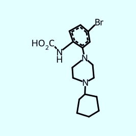 O=C(O)Nc1ccc(Br)cc1N1CCN(C2CCCCC2)CC1